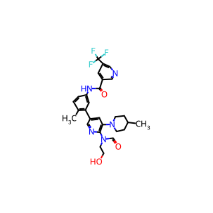 Cc1ccc(NC(=O)c2cncc(C(F)(F)F)c2)cc1-c1cnc(N(C=O)CCO)c(N2CCC(C)CC2)c1